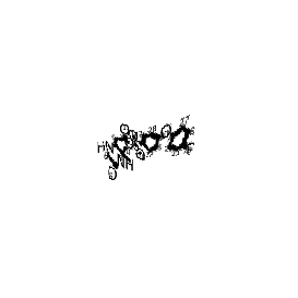 CC1(C)NC(=O)CNC1CC(=O)OS(=O)(=O)c1ccc(Oc2ccc(F)cc2)cc1